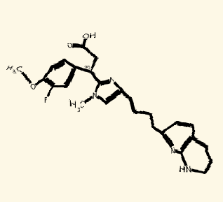 COc1ccc([C@@H](CC(=O)O)c2nc(CCCCc3ccc4c(n3)NCCC4)cn2C)cc1F